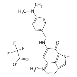 CN(C)c1ccc(CNC2=Cc3c4c([nH]cc4cc[n+]3C)C2=O)cc1.O=C([O-])C(F)(F)F